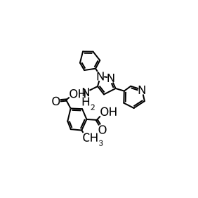 Cc1ccc(C(=O)O)cc1C(=O)O.Nc1cc(-c2cccnc2)nn1-c1ccccc1